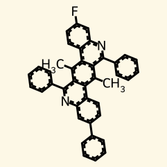 Cc1c2c(-c3ccccc3)nc3cc(-c4ccccc4)ccc3c2c(C)c2c(-c3ccccc3)nc3cc(F)ccc3c12